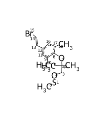 CSOCC(C)(C)Oc1c(C)cc(/C=C/Br)cc1C